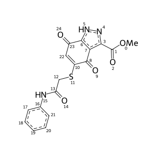 COC(=O)c1n[nH]c2c1C(=O)C(SCC(=O)Nc1ccccc1)=CC2=O